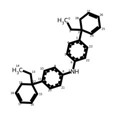 CCC1(c2ccc(Nc3ccc(C4(CC)C=CC=CC4)cc3)cc2)C=CC=CC1